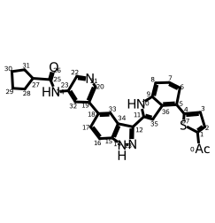 CC(=O)c1ccc(-c2cccc3[nH]c(-c4n[nH]c5ccc(-c6cncc(NC(=O)C7CCCC7)c6)cc45)cc23)s1